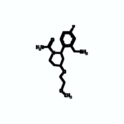 COCCOC1CCN(C(N)=O)C(c2ccc(F)cc2CN)C1